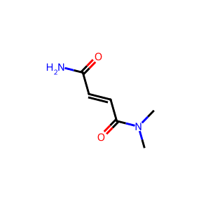 CN(C)C(=O)C=CC(N)=O